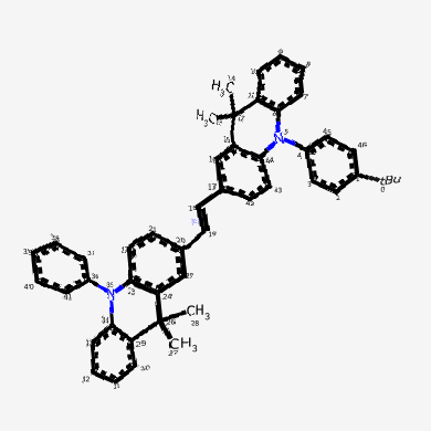 CC(C)(C)c1ccc(N2c3ccccc3C(C)(C)c3cc(/C=C/c4ccc5c(c4)C(C)(C)c4ccccc4N5c4ccccc4)ccc32)cc1